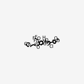 O=C(OCCCN1CCOCC1)c1ccc(NS(=O)(=O)c2cc(-c3ccc4c(c3)OCO4)c(Cl)s2)cc1OC(=O)C(F)(F)F